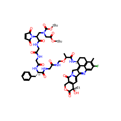 CC[C@@]1(O)C(=O)OCc2c1cc1n(c2=O)Cc2c-1nc1cc(F)c(C)c3c1c2[C@@H](NC(=O)C(C)OCNC(=O)CNC(=O)[C@H](Cc1ccccc1)NC(=O)CNC(=O)CNC(=O)C(CN(CC(=O)OC(C)(C)C)C(=O)OC(C)(C)C)N1C(=O)C=CC1=O)CC3